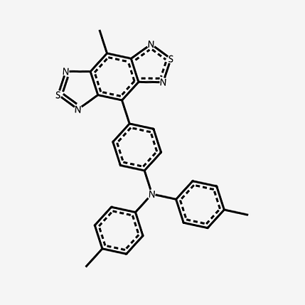 Cc1ccc(N(c2ccc(C)cc2)c2ccc(-c3c4c(c(C)c5nsnc35)N=S=N4)cc2)cc1